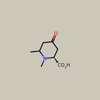 CC1CC(=O)C[C@@H](C(=O)O)N1C